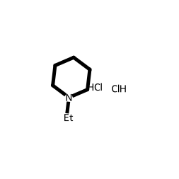 CCN1CCCCC1.Cl.Cl